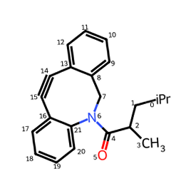 CC(C)CC(C)C(=O)N1Cc2ccccc2C#Cc2ccccc21